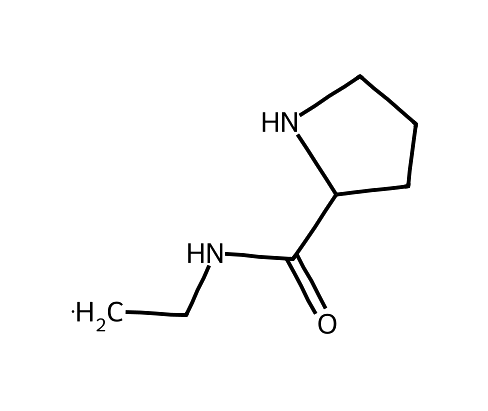 [CH2]CNC(=O)C1CCCN1